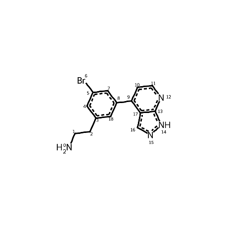 NCCc1cc(Br)cc(-c2ccnc3[nH]ncc23)c1